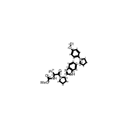 CCOc1ccc(N2CCC[C@@H]2c2ccc3nc([C@@H]4CCCN4C(=O)C(NC(=O)OC)C(C)C)[nH]c3c2)cc1